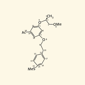 COC[C@H](C)Oc1cc(OCCc2ccc(SC)cc2)cc(C(C)=O)c1